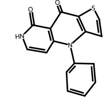 O=c1[nH]ccc2c1c(=O)c1sccc1n2-c1ccccc1